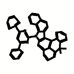 CC1(C)c2ccccc2-c2c3c1cccc3cc1c2c2ccc3ccccc3c2n1-c1nc(-c2ccccc2)cc(-c2ccccc2)n1